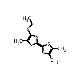 CCSC1=C(C)SC(=C2SC(C)=C(C)S2)S1